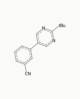 CC(C)(C)c1ncc(-c2cccc(C#N)c2)cn1